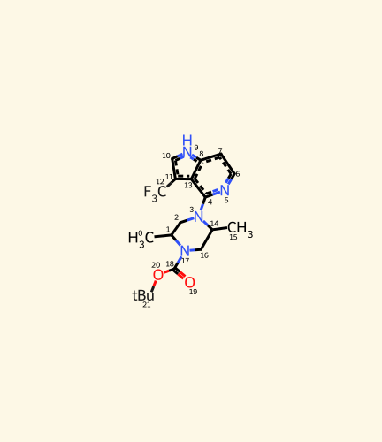 CC1CN(c2nccc3[nH]cc(C(F)(F)F)c23)C(C)CN1C(=O)OC(C)(C)C